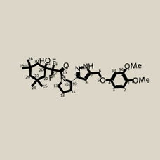 COc1ccc(OCc2cc([C@@H]3CCCN3C(=O)C(F)(F)C3(O)CC(C)(C)CC(C)(C)C3)n[nH]2)cc1OC